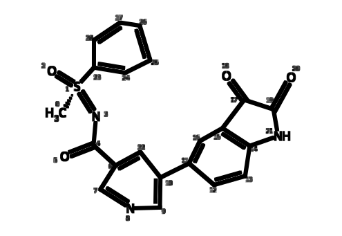 C[S@@](=O)(=NC(=O)c1cncc(-c2ccc3c(c2)C(=O)C(=O)N3)c1)c1ccccc1